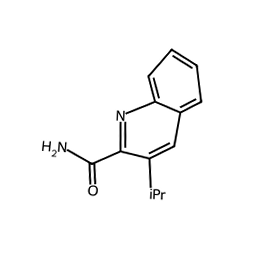 CC(C)c1cc2ccccc2nc1C(N)=O